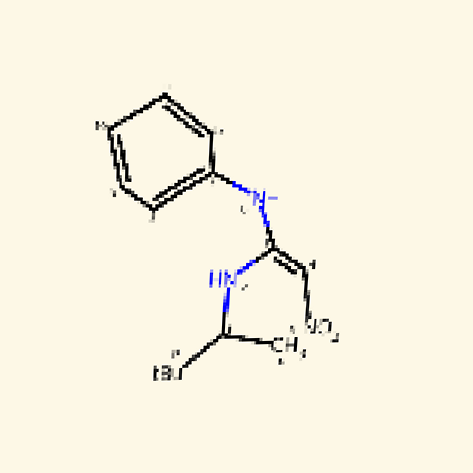 CC(N/C(=C\[N+](=O)[O-])Nc1ccccc1)C(C)(C)C